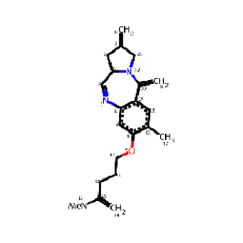 C=C1CC2C=Nc3cc(OCCCC(=C)NC)c(C)cc3C(=C)N2C1